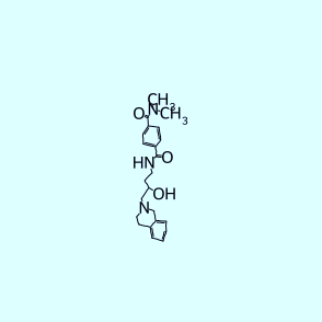 CN(C)C(=O)c1ccc(C(=O)NCCC(O)CN2CCc3ccccc3C2)cc1